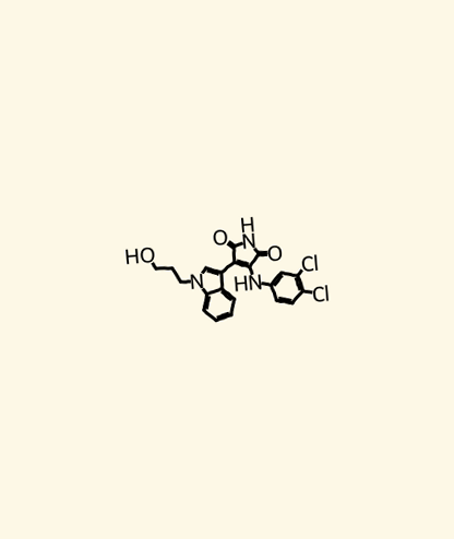 O=C1NC(=O)C(c2cn(CCCO)c3ccccc23)=C1Nc1ccc(Cl)c(Cl)c1